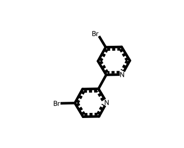 Brc1ccnc(-c2cc(Br)ccn2)c1